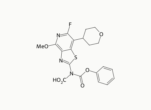 COc1nc(F)c(C2CCOCC2)c2sc(N(C(=O)O)C(=O)Oc3ccccc3)nc12